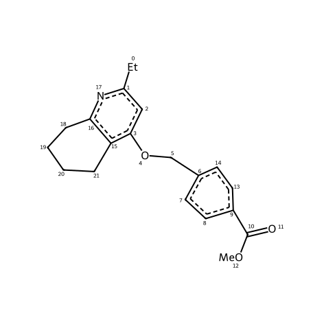 CCc1cc(OCc2ccc(C(=O)OC)cc2)c2c(n1)CCCC2